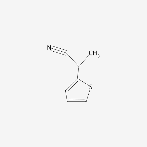 CC(C#N)c1cccs1